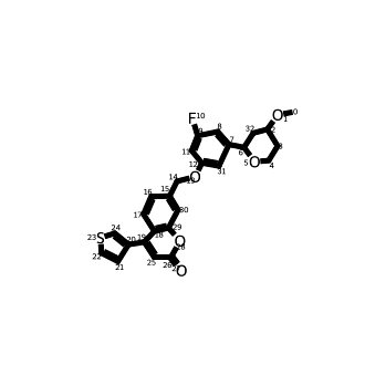 COC1CCOC(c2cc(F)cc(OCc3ccc4c(-c5ccsc5)cc(=O)oc4c3)c2)C1